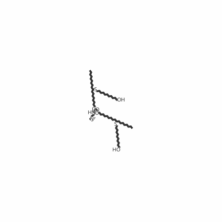 CCCCCCCCCC(CCCCCCCCOP(=O)(NCC[N+](C)(C)C)OCCCCCCCCCC(CCCCCCCC)SCCCCCCCCCCCO)SCCCCCCCCCCCO